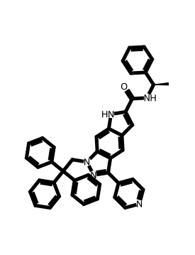 C[C@@H](NC(=O)c1cc2cc3c(-c4ccncc4)nn(CC(c4ccccc4)(c4ccccc4)c4ccccc4)c3cc2[nH]1)c1ccccc1